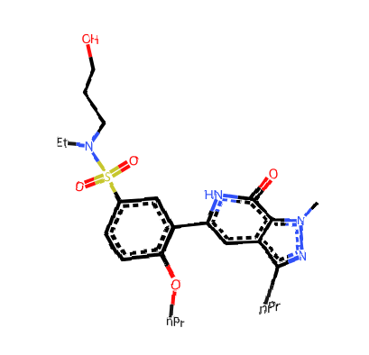 CCCOc1ccc(S(=O)(=O)N(CC)CCCO)cc1-c1cc2c(CCC)nn(C)c2c(=O)[nH]1